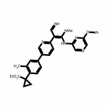 CCOC(=O)C1(c2ccc(-c3ccc(/C(C=N)=C(/NC)Nc4cncc(OC(C)C)n4)nc3)cc2C)CC1